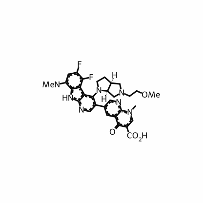 CNc1cc(F)c(F)c2c1[nH]c1ncc(-c3cnc4c(c3)c(=O)c(C(=O)O)cn4C)c(N3CC[C@H]4CN(CCOC)C[C@H]43)c12